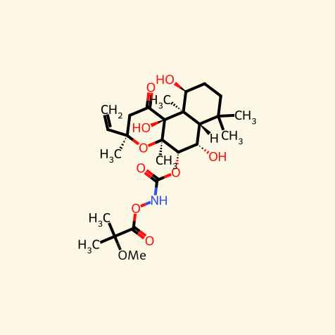 C=C[C@@]1(C)CC(=O)[C@]2(O)[C@@]3(C)[C@@H](O)CCC(C)(C)[C@@H]3[C@H](O)[C@H](OC(=O)NOC(=O)C(C)(C)OC)[C@@]2(C)O1